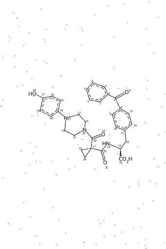 O=C(c1ccccc1)c1ccc(C[C@H](NC(=O)C2(C(=O)N3CCN(c4ccc(O)cc4)CC3)CC2)C(=O)O)cc1